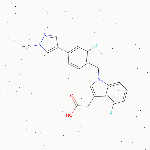 Cn1cc(-c2ccc(Cn3cc(CC(=O)O)c4c(F)cccc43)c(F)c2)cn1